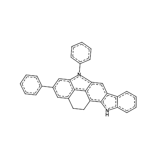 c1ccc(-c2cc3c4c5c(c6[nH]c7ccccc7c6cc5n(-c5ccccc5)c4c2)CC3)cc1